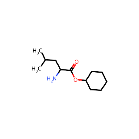 CC(C)CC(N)C(=O)OC1CCCCC1